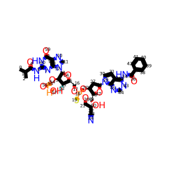 CC(C)C(=O)Nc1nc2c(ncn2[C@@H]2O[C@H](COP(=S)(OCCC#N)O[C@H]3C[C@H](n4ccc5c(NC(=O)c6ccccc6)ncnc54)O[C@@H]3CO)[C@@H](F)[C@H]2O[PH](=O)O)c(=O)[nH]1